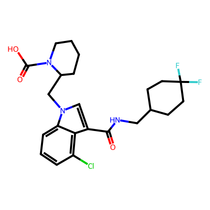 O=C(NCC1CCC(F)(F)CC1)c1cn(CC2CCCCN2C(=O)O)c2cccc(Cl)c12